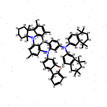 Cc1cc2c3c(c1)N1c4c(c(C)cc(C)c4C4(C)CCCCC14C)B3c1ccc(N(c3ccc4c(c3)C(C)(C)CC(C)(C)C4)c3ccc4c(c3)C(C)(C)CCC4(C)C)cc1N2c1ccc2c(c1)sc1ccccc12